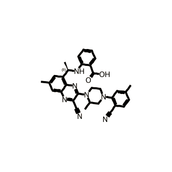 Cc1ccc(C#N)c(N2CCN(c3nc4c([C@@H](C)Nc5ccccc5C(=O)O)cc(C)cc4nc3C#N)C(C)C2)c1